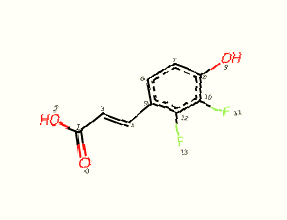 O=C(O)C=Cc1ccc(O)c(F)c1F